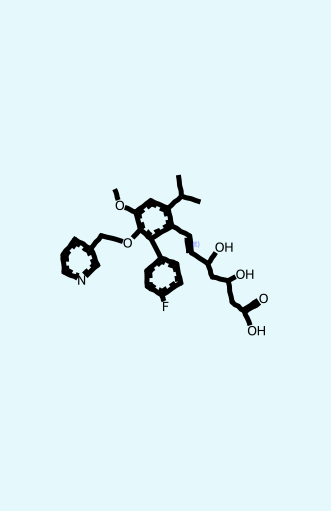 COc1cc(C(C)C)c(/C=C/C(O)CC(O)CC(=O)O)c(-c2ccc(F)cc2)c1OCc1cccnc1